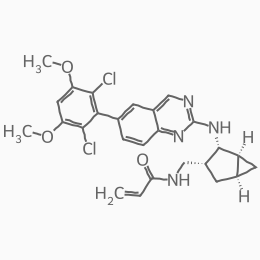 C=CC(=O)NC[C@H]1C[C@@H]2C[C@@H]2[C@H]1Nc1ncc2cc(-c3c(Cl)c(OC)cc(OC)c3Cl)ccc2n1